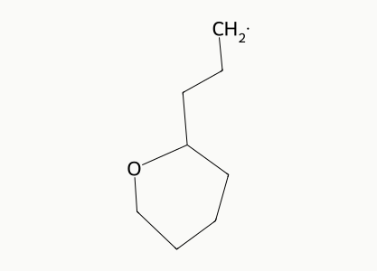 [CH2]CCC1CCCCO1